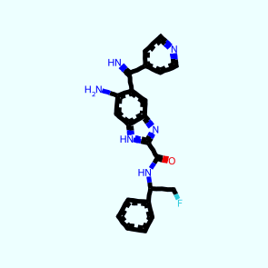 N=C(c1ccncc1)c1cc2nc(C(=O)NC(CF)c3ccccc3)[nH]c2cc1N